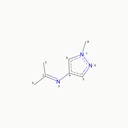 CC(C)=Nc1cnn(C)c1